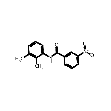 Cc1cccc(NC(=O)c2cccc([N+](=O)[O-])c2)c1C